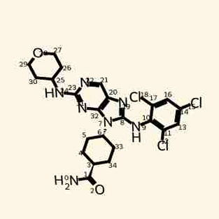 NC(=O)[C@H]1CC[C@H](n2c(Nc3c(Cl)cc(Cl)cc3Cl)nc3cnc(NC4CCOCC4)nc32)CC1